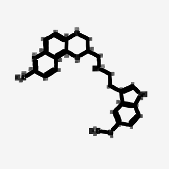 COc1ccc2[nH]cc(CCNCC3COc4ccc5nc(C)ccc5c4O3)c2c1